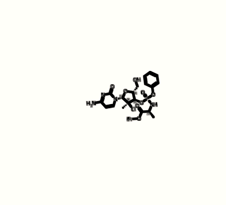 CC(C)OC(=O)[C@H](C)NP(=O)(Oc1ccccc1)O[C@@H]1[C@@H](CO)O[C@@H](n2ccc(N)nc2=O)[C@]1(C)Cl